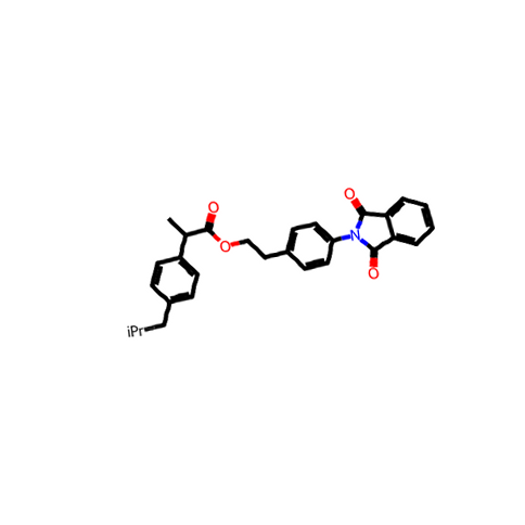 CC(C)Cc1ccc(C(C)C(=O)OCCc2ccc(N3C(=O)c4ccccc4C3=O)cc2)cc1